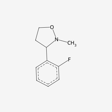 CN1OCCC1c1ccccc1F